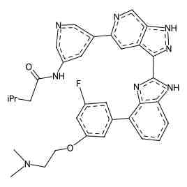 CC(C)CC(=O)Nc1cncc(-c2cc3c(-c4nc5c(-c6cc(F)cc(OCCN(C)C)c6)cccc5[nH]4)n[nH]c3cn2)c1